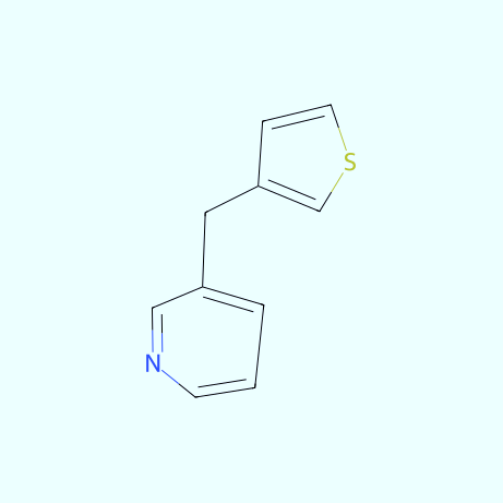 c1cncc(Cc2ccsc2)c1